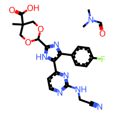 CC1(C(=O)O)COC(c2nc(-c3ccc(F)cc3)c(-c3ccnc(NCC#N)n3)[nH]2)OC1.CN(C)C=O